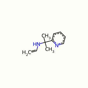 C=CNC(C)(C)c1ccccn1